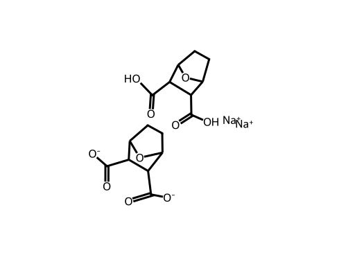 O=C(O)C1C2CCC(O2)C1C(=O)O.O=C([O-])C1C2CCC(O2)C1C(=O)[O-].[Na+].[Na+]